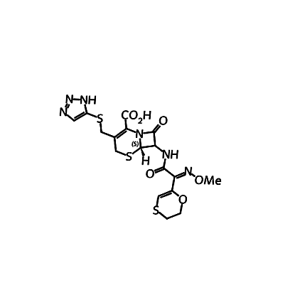 CON=C(C(=O)NC1C(=O)N2C(C(=O)O)=C(CSc3cnn[nH]3)CS[C@@H]12)C1=CSCCO1